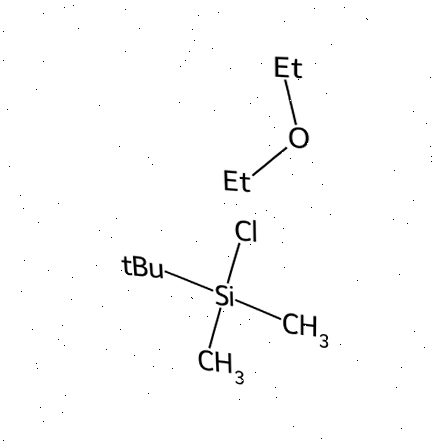 CC(C)(C)[Si](C)(C)Cl.CCOCC